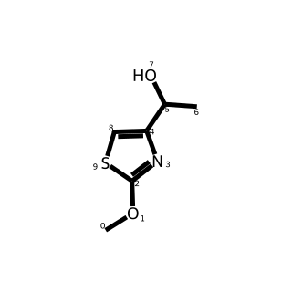 COc1nc(C(C)O)cs1